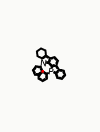 c1ccc(-n2c3c(c4ccc5c6ccccc6p(-c6ccccc6)c5c42)CCCC3)cc1